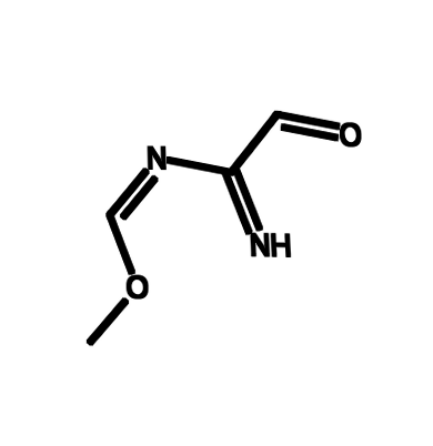 CO/C=N\C(=N)C=O